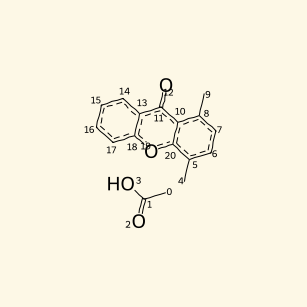 CC(=O)O.Cc1ccc(C)c2c(=O)c3ccccc3oc12